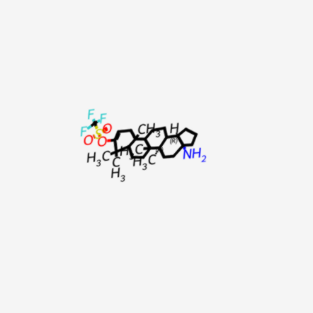 CC1(C)C(OS(=O)(=O)C(F)(F)F)=CCC2(C)C1CCC1(C)C2CCC2[C@H]3CCCC3(N)CC[C@]21C